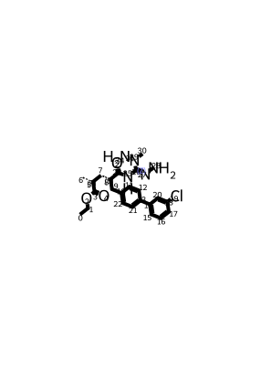 CCOC(=O)[C@H](C)C[C@@H](Cc1ccc(-c2cccc(Cl)c2)cc1)C(=O)N/C(=N/N)N(C)N